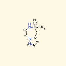 CC1(C)Cc2ccnn2C=CN1